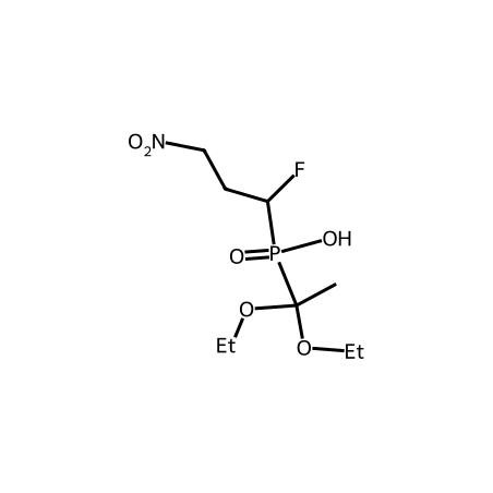 CCOC(C)(OCC)P(=O)(O)C(F)CC[N+](=O)[O-]